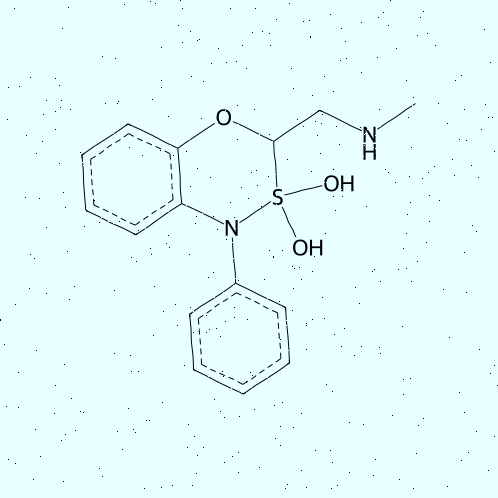 CNCC1Oc2ccccc2N(c2ccccc2)S1(O)O